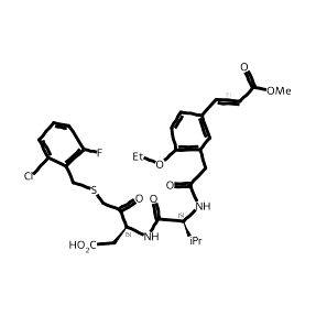 CCOc1ccc(/C=C/C(=O)OC)cc1CC(=O)N[C@H](C(=O)N[C@@H](CC(=O)O)C(=O)CSCc1c(F)cccc1Cl)C(C)C